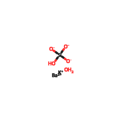 O.[Ba+2].[K+].[O-][Si]([O-])([O-])O